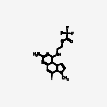 Cn1ccc2c3c(NCCOC(=O)C(F)(F)F)nc(N)nc3cc(I)c21